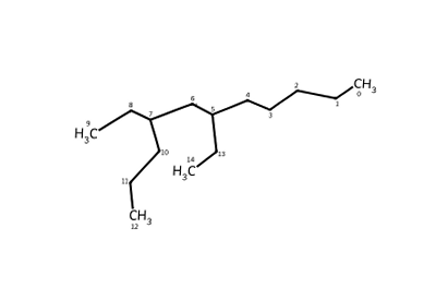 CCCCCC([CH]C(CC)CCC)CC